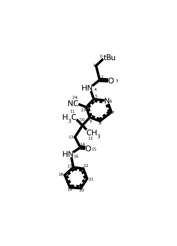 CC(C)(C)CC(=O)Nc1nccc(C(C)(C)CC(=O)Nc2ccccc2)c1C#N